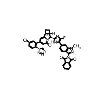 Cn1nc(N2C(=O)c3ccccc3C2=O)c2ccc(-c3[nH]c([C@@H]4[C@H]5CCC5c5cc(-c6cc(Cl)ccc6-n6cnnn6)cc(=O)n54)nc3F)cc21